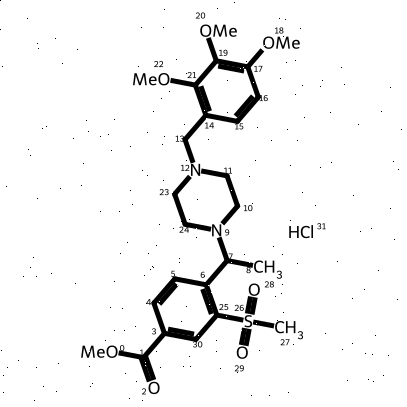 COC(=O)c1ccc(C(C)N2CCN(Cc3ccc(OC)c(OC)c3OC)CC2)c(S(C)(=O)=O)c1.Cl